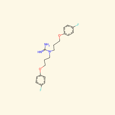 N=C(N)N(CCCOc1ccc(F)cc1)CCCOc1ccc(F)cc1